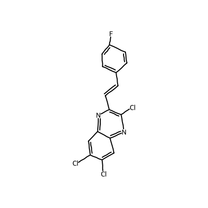 Fc1ccc(C=Cc2nc3cc(Cl)c(Cl)cc3nc2Cl)cc1